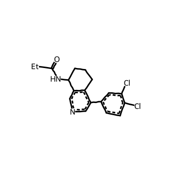 CCC(=O)NC1CCCc2c(-c3ccc(Cl)c(Cl)c3)cncc21